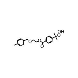 Cc1ccc(COCCOC(=O)c2ccc(C(C)(C)OO)cc2)cc1